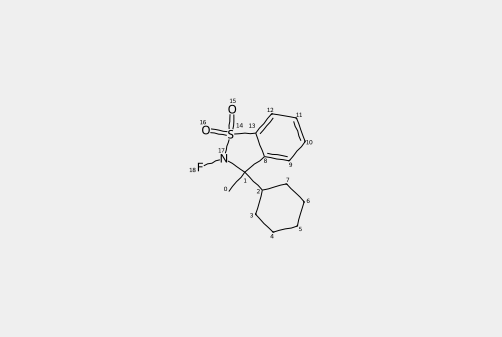 CC1(C2CCCCC2)c2ccccc2S(=O)(=O)N1F